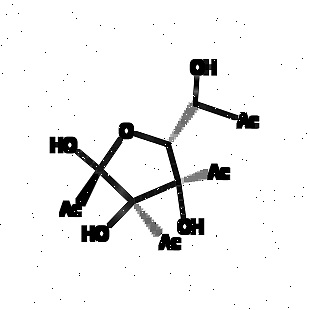 CC(=O)C(O)[C@H]1O[C@](O)(C(C)=O)[C@@](O)(C(C)=O)[C@@]1(O)C(C)=O